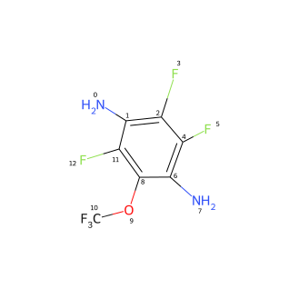 Nc1c(F)c(F)c(N)c(OC(F)(F)F)c1F